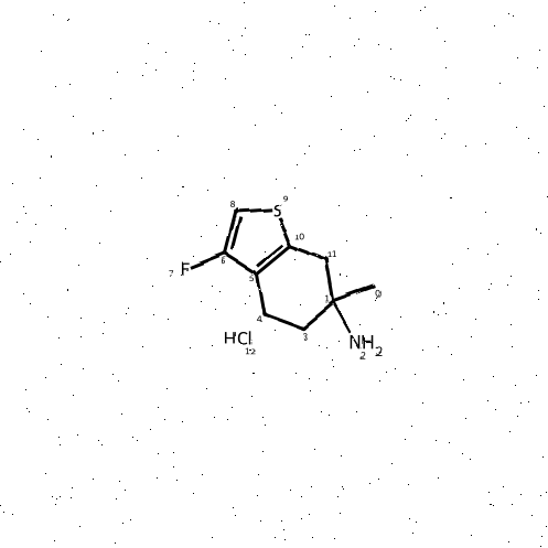 CC1(N)CCc2c(F)csc2C1.Cl